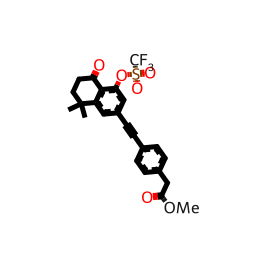 COC(=O)Cc1ccc(C#Cc2cc(OS(=O)(=O)C(F)(F)F)c3c(c2)C(C)(C)CCC3=O)cc1